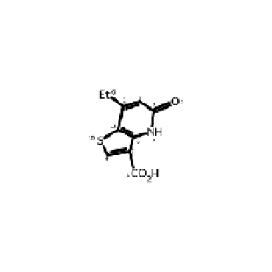 CCc1cc(=O)[nH]c2c(C(=O)O)csc12